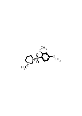 [CH2-][C+]1CCCN(S(=O)(=O)c2ccc(OC)cc2OC)C1